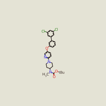 CN(C(=O)OC(C)(C)C)C1CCN(c2ccc(Oc3cccc(-c4cc(Cl)cc(Cl)c4)c3)cn2)CC1